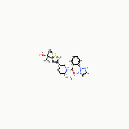 C[C@@H]1CC[C@@H](c2cc(C(C)(C)O)sn2)CN1C(=O)c1ccccc1-n1nccn1